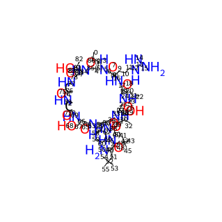 CC[C@H](C)[C@@H]1NC(=O)[C@@H](CCCNC(=N)N)NC(=O)[C@H](CC(C)C)NC(=O)[C@H]([C@H](O)C(C)C)NC(=O)[C@@H](NC(=O)[C@H](CC(C)(C)C)NC(=O)[C@H](N)CC(C)(C)C)[C@@H](c2ccccc2)NC(=O)C(CO)NC(=O)CNC(=O)CNC(=O)[C@H]([C@H](C)O)NC1=O